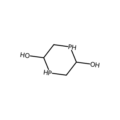 OC1CPC(O)CP1